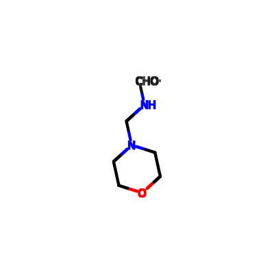 O=[C]NCN1CCOCC1